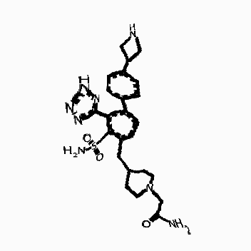 NC(=O)CN1CCC(Cc2ccc(-c3ccc(C4CNC4)cc3)c(-c3nn[nH]n3)c2S(N)(=O)=O)CC1